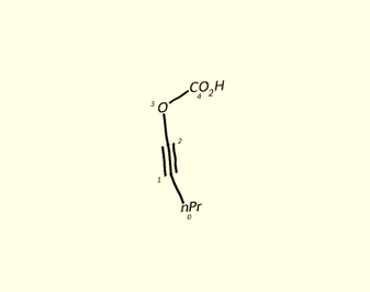 CCCC#COC(=O)O